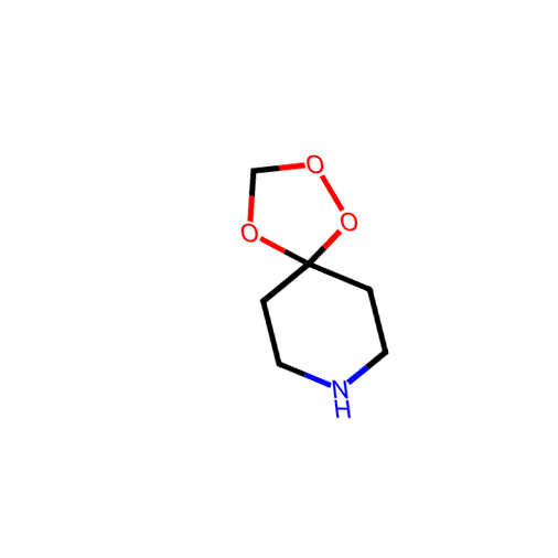 C1CC2(CCN1)OCOO2